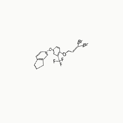 FC(F)(F)c1cc(Oc2ccc3c(c2)CCC3)ccc1OCC=C(Br)Br